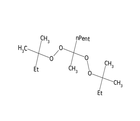 CCCCCC(C)(OOC(C)(C)CC)OOC(C)(C)CC